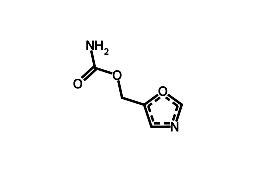 NC(=O)OCc1cnco1